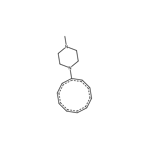 CN1CCN(c2ccccccccc2)CC1